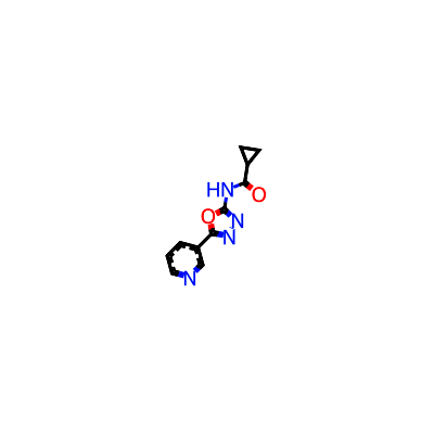 O=C(Nc1nnc(-c2cccnc2)o1)C1CC1